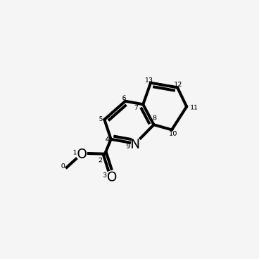 COC(=O)c1ccc2c(n1)CCC=C2